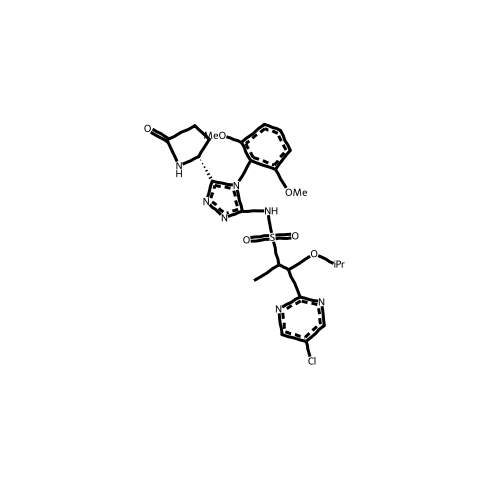 COc1cccc(OC)c1-n1c(NS(=O)(=O)C(C)C(OC(C)C)c2ncc(Cl)cn2)nnc1[C@H]1CCC(=O)N1